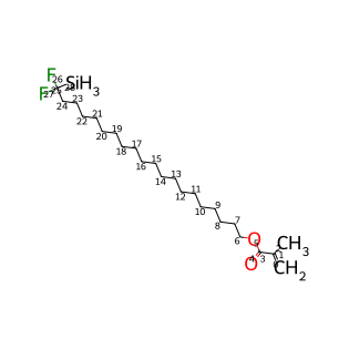 C=C(C)C(=O)OCCCCCCCCCCCCCCCCCCCC(F)(F)[SiH3]